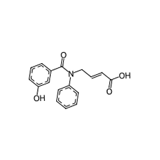 O=C(O)C=CCN(C(=O)c1cccc(O)c1)c1ccccc1